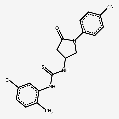 Cc1ccc(Cl)cc1NC(=S)NC1CC(=O)N(c2ccc(C#N)cc2)C1